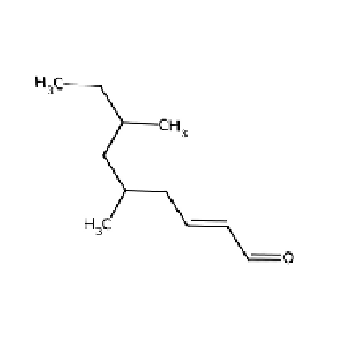 CCC(C)CC(C)CC=CC=O